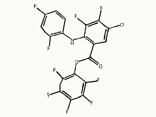 O=C(Oc1c(F)c(F)c(F)c(F)c1F)c1cc(Cl)c(F)c(F)c1Nc1ccc(F)cc1F